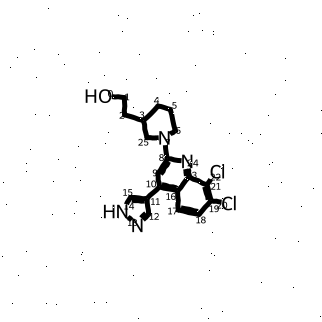 OCCC1CCCN(c2cc(-c3cn[nH]c3)c3ccc(Cl)c(Cl)c3n2)C1